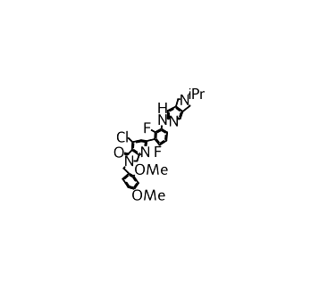 COc1ccc(CN2Cc3nc(-c4c(F)ccc(Nc5cc6c(cn5)CN(C(C)C)C6)c4F)cc(Cl)c3C2=O)c(OC)c1